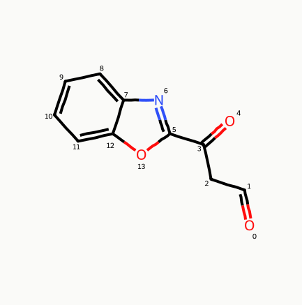 O=CCC(=O)c1nc2ccccc2o1